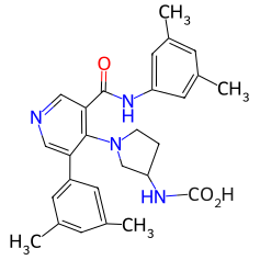 Cc1cc(C)cc(NC(=O)c2cncc(-c3cc(C)cc(C)c3)c2N2CCC(NC(=O)O)C2)c1